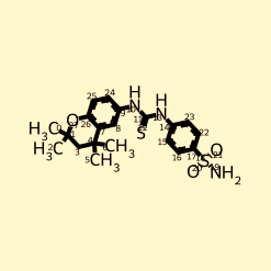 CC1(C)CC(C)(C)c2cc(NC(=S)Nc3ccc(S(N)(=O)=O)cc3)ccc2O1